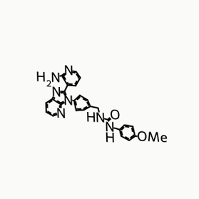 COc1ccc(NC(=O)NCc2ccc(-n3c(-c4cccnc4N)nc4cccnc43)cc2)cc1